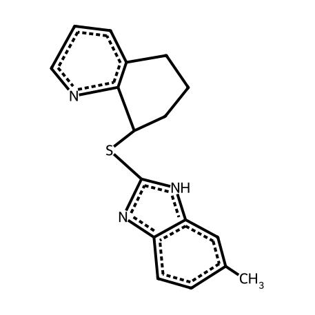 Cc1ccc2nc(SC3CCCc4cccnc43)[nH]c2c1